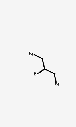 Br[CH]C(Br)CBr